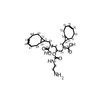 NCCNC(=O)OC(CN(CC1C2CCC=CCCC21)C(=O)O)CN(CC1C2CCC=CCCC21)C(=O)O